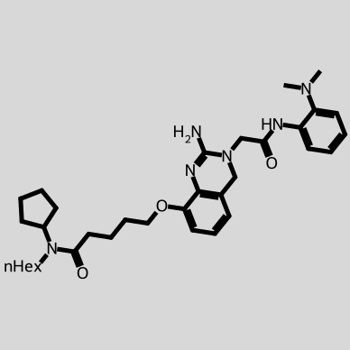 CCCCCCN(C(=O)CCCCOc1cccc2c1N=C(N)N(CC(=O)Nc1ccccc1N(C)C)C2)C1CCCC1